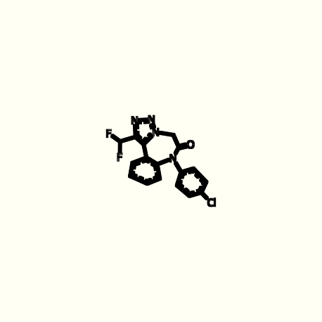 O=C1Cn2nnc(C(F)F)c2-c2ccccc2N1c1ccc(Cl)cc1